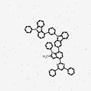 Cc1cc2c(-c3nc(-c4ccccc4)cc(-c4ccccc4)n3)ccc(-c3ccc4c(c3)c3ccccc3n4-c3cccc(-c4cccc5c4c4ccccc4n5-c4ccccc4)c3)c2n1-c1ccccc1